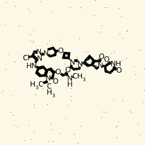 CNC(=O)COc1cc2cc(Nc3nc(N4CCC(O[C@H]5C[C@H](N6CCCN(c7ccc8c(c7)CN(C7CCC(=O)NC7=O)C8=O)C6)C5)CC4)ncc3Cl)ccc2n(C(C)C)c1=O